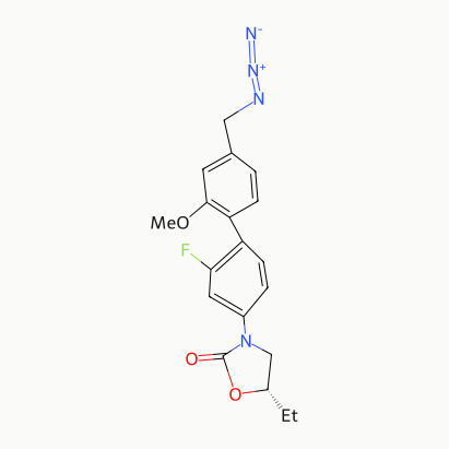 CC[C@H]1CN(c2ccc(-c3ccc(CN=[N+]=[N-])cc3OC)c(F)c2)C(=O)O1